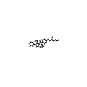 C/C=C/CNCCc1ccc(S(=O)(=O)N2CCN(C3CCCCC3)C2=N)cc1.CO